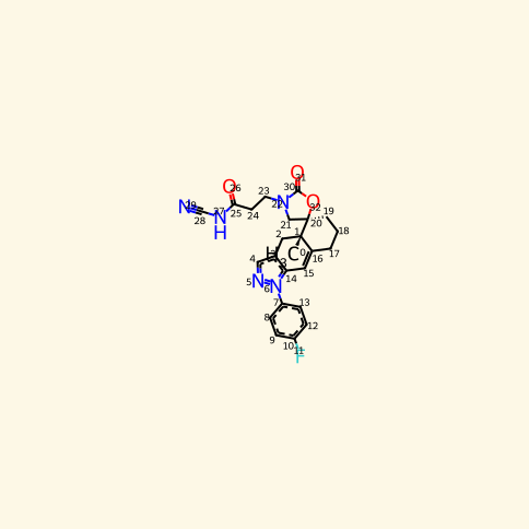 C[C@]12Cc3cnn(-c4ccc(F)cc4)c3C=C1CCC[C@@]21CN(CCC(=O)NC#N)C(=O)O1